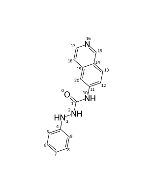 O=C(NNc1ccccc1)Nc1ccc2cnccc2c1